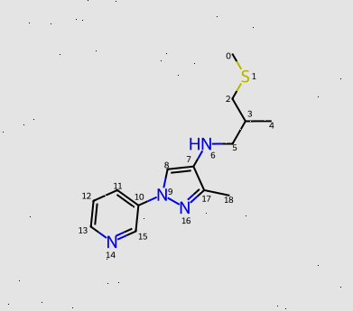 CSCC(C)CNc1cn(-c2cccnc2)nc1C